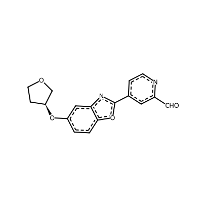 O=Cc1cc(-c2nc3cc(O[C@H]4CCOC4)ccc3o2)ccn1